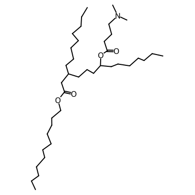 CCCCCCCCCCCOC(=O)CC(CCCCCCCC)CCCC(CCCCCCC)OC(=O)CCCN(C)C